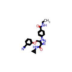 CCNC(=O)c1ccc(-n2nnc(C(=O)NC3CC3)c2COc2cccc(C#N)c2)cc1